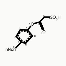 CCCCCCCCCc1ccc(OC(=O)CS(=O)(=O)O)cc1